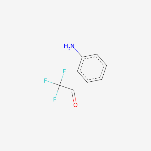 Nc1ccccc1.O=CC(F)(F)F